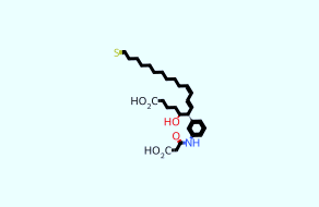 O=C(O)CCC[C@H](O)[C@H](/C=C/C=C\CCCCCCCCCC=S)c1cccc(NC(=O)CC(=O)O)c1